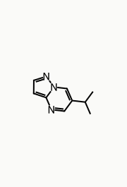 CC(C)c1cnc2ccnn2c1